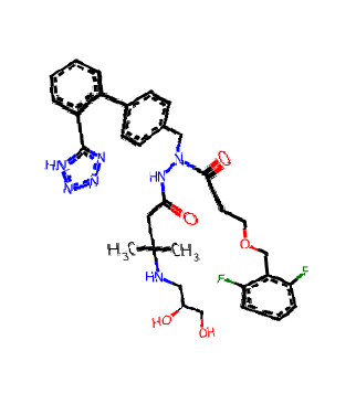 CC(C)(CC(=O)NN(Cc1ccc(-c2ccccc2-c2nnn[nH]2)cc1)C(=O)CCOCc1c(F)cccc1F)NC[C@H](O)CO